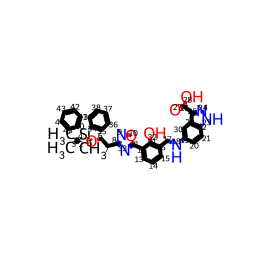 CC(C)(C)[Si](OCCc1noc(-c2cccc(CNc3ccc4[nH]nc(C(=O)O)c4c3)c2O)n1)(c1ccccc1)c1ccccc1